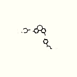 CCCC(CC(=O)OC)c1ccc(OCc2ccc3c(c2)-c2ccc(OCC4CCS(O)(O)CC4)cc2CCC3)cc1